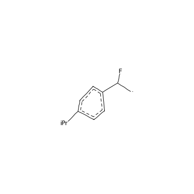 [CH2]C(F)c1ccc(C(C)C)cc1